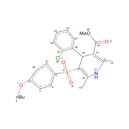 CCCCOc1ccc(S(=O)(=O)C2=C(C)NC(C)=C(C(=O)OC)C2c2ccccc2Cl)cc1